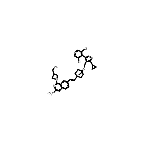 O=C(O)c1cc2ccc(C=CC34CCC(OCc5c(-c6c(Cl)cncc6Cl)noc5C5CC5)(CC3)CC4)cc2c(N2CC(CO)C2)n1